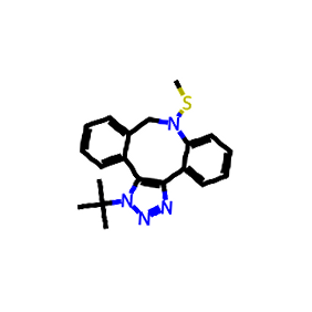 CSN1Cc2ccccc2-c2c(nnn2C(C)(C)C)-c2ccccc21